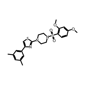 COc1ccc(S(=O)(=O)N2CCN(c3nc(-c4cc(C)cc(C)c4)cs3)CC2)c(OC)c1